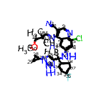 BC(Nc1cc(Cl)c2ncc(C#N)c(NCC(C)(C)COC)c2c1)(C1=CN(C2CC2)NN1)c1ccc(F)cc1